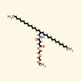 CCCCCCCCCCCCCCC(CCCCCCCCCCCCCC)CNC(=O)CCC(=O)OCCOCCOC